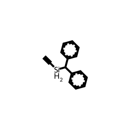 C#C[SiH2]C(c1ccccc1)c1ccccc1